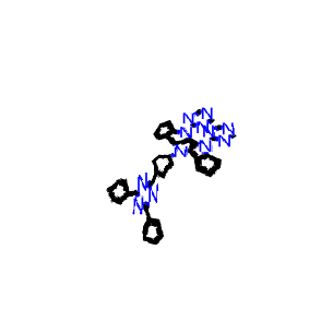 c1ccc(-c2nc(-c3ccccc3)nc(C3CCC(n4c5c6ccccc6n(-c6ncncn6)c5c5c4c4ccccc4n5-c4ncncn4)CC3)n2)cc1